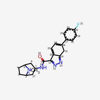 CN1C2CCC1CC(NC(=O)C1=NN=C3CC(c4ccc(F)cc4)=CC=C31)C2